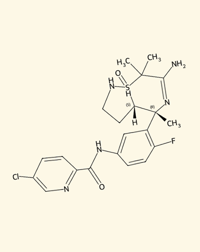 CC1(C)C(N)=N[C@](C)(c2cc(NC(=O)c3ccc(Cl)cn3)ccc2F)[C@@H]2CCN[SH]21=O